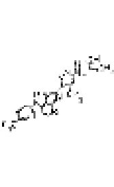 CC(O)CNc1cc(C(F)(F)F)c(-c2cnc3c(Nc4ccc(C(F)(F)F)cn4)ccnc3n2)nn1